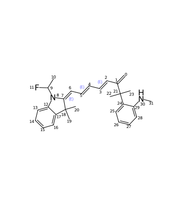 C=C(/C=C/C=C/C=C1/N(C(C)F)c2ccccc2C1(C)C)C(C)(C)c1ccccc1NC